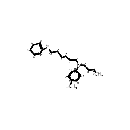 C=CCCN(CCCCCCOC1=CC[CH]C=C1)c1ccc(C)cc1